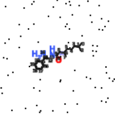 CC(C)=CCC/C(C)=C/C(=O)NC[C@@H](N)c1ccccc1